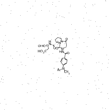 CC(=O)N(C)c1ccc(C(=O)NN2CCC(=O)N3CCC[C@@H](C(=O)N[C@H](C=O)CC(=O)O)N3C2=O)cc1